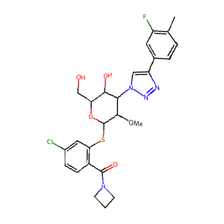 COC1C(Sc2cc(Cl)ccc2C(=O)N2CCC2)OC(CO)C(O)C1n1cc(-c2ccc(C)c(F)c2)nn1